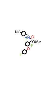 CO[C@H](C(=O)NCc1ccc(C#N)cc1)c1c(F)ccc(Oc2ccc(F)cc2)c1F